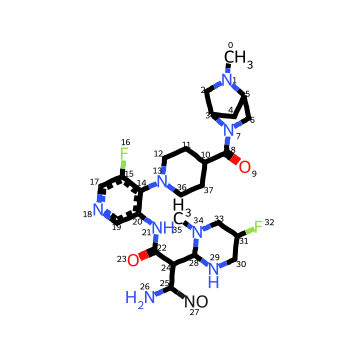 CN1CC2CC1CN2C(=O)C1CCN(c2c(F)cncc2NC(=O)C(C(N)N=O)C2NCC(F)CN2C)CC1